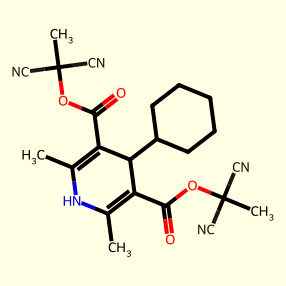 CC1=C(C(=O)OC(C)(C#N)C#N)C(C2CCCCC2)C(C(=O)OC(C)(C#N)C#N)=C(C)N1